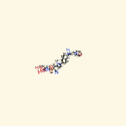 C/C(=C(/C#N)S(=O)(=O)NCC(O)CO)c1ccc(-c2ccc3cc(NCCN4CCOCC4)ccc3c2)n1C